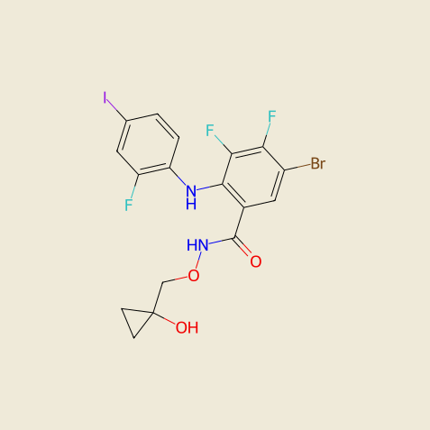 O=C(NOCC1(O)CC1)c1cc(Br)c(F)c(F)c1Nc1ccc(I)cc1F